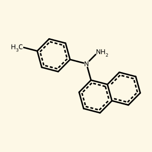 Cc1ccc(N(N)c2cccc3ccccc23)cc1